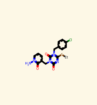 CCSc1nc(=O)n(Cc2cccn(N)c2=O)c(=O)n1Cc1ccc(Cl)cc1